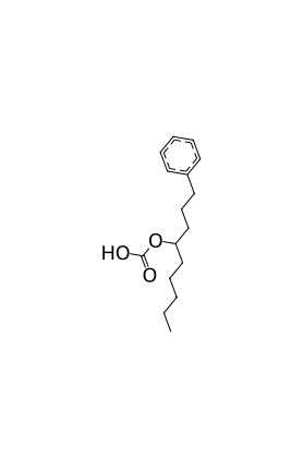 CCCCCC(CCCc1ccccc1)OC(=O)O